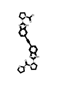 CCC(=O)N1CCC[C@H]1c1nc2ccc(C#Cc3ccc4[nH]c([C@@H]5CCCN5C(=O)[C@H]5CCCO5)nc4c3)cc2[nH]1